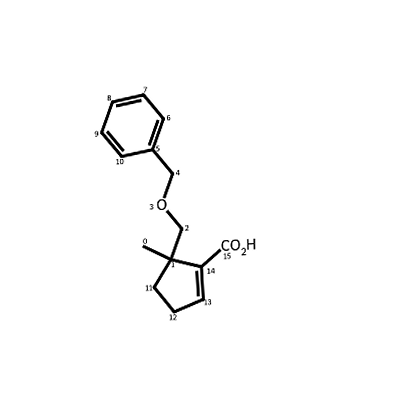 CC1(COCc2ccccc2)CCC=C1C(=O)O